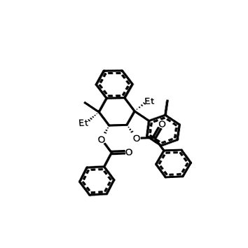 CC[C@@]1(c2ccccc2C)c2ccccc2[C@@](C)(CC)[C@@H](OC(=O)c2ccccc2)[C@H]1OC(=O)c1ccccc1